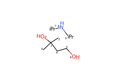 CC(C)(O)CCO.CC(C)NC(C)C